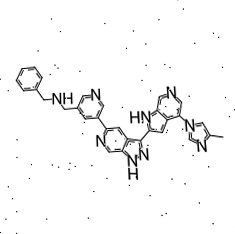 Cc1cn(-c2cncc3[nH]c(-c4n[nH]c5cnc(-c6cncc(CNCc7ccccc7)c6)cc45)cc23)cn1